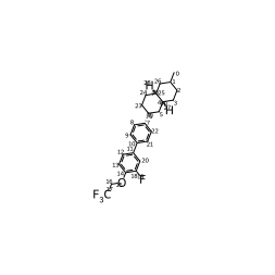 CC1CC[C@@H]2C[C@H](c3ccc(-c4ccc(OCC(F)(F)F)c(F)c4)cc3)CC[C@@H]2C1